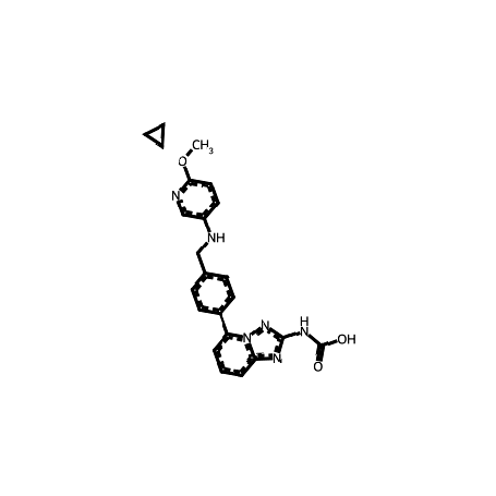 C1CC1.COc1ccc(NCc2ccc(-c3cccc4nc(NC(=O)O)nn34)cc2)cn1